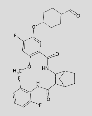 COc1cc(F)c(OC2CCC(C=O)CC2)cc1C(=O)NC1C2CCC(C2)C1C(=O)Nc1c(F)cccc1F